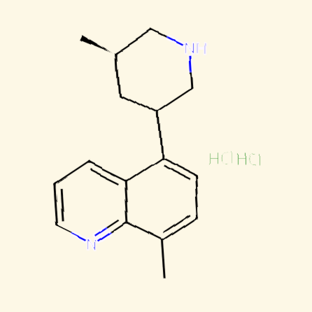 Cc1ccc(C2CNC[C@H](C)C2)c2cccnc12.Cl.Cl